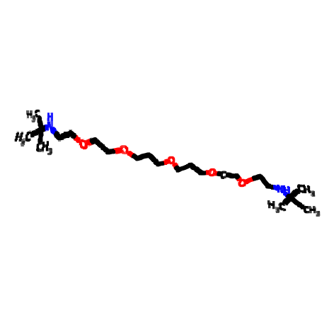 CC(C)(C)NCCOCCOCCCOCCCOCCOCCNC(C)(C)C